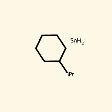 CC(C)[C]1CCCCC1.[SnH2]